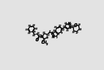 C[C@@H]1C[C@H](Cn2ncc3cc(-c4cnn(C5CCCCO5)c4)ccc32)CN1C(=O)CCc1ccccc1